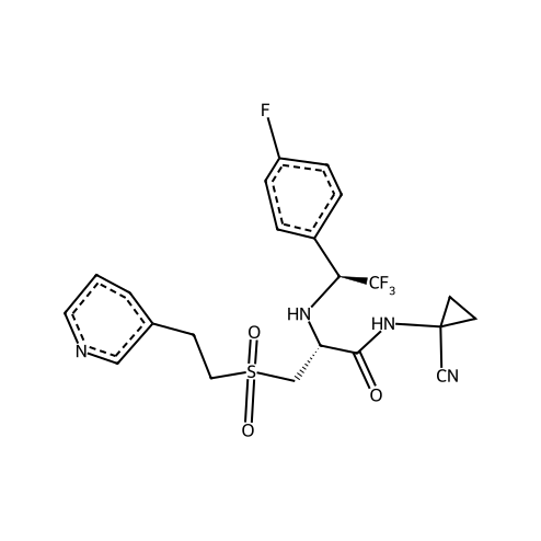 N#CC1(NC(=O)[C@H](CS(=O)(=O)CCc2cccnc2)N[C@@H](c2ccc(F)cc2)C(F)(F)F)CC1